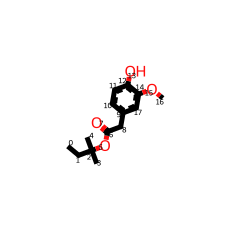 CCC(C)(C)OC(=O)Cc1ccc(O)c(OC)c1